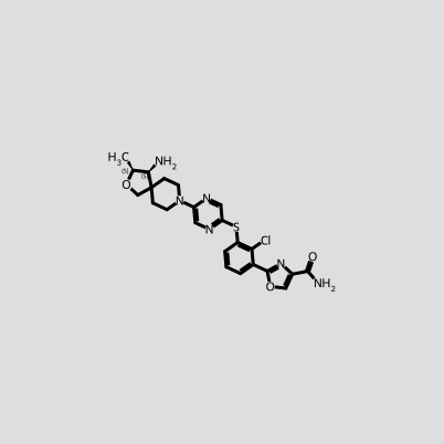 C[C@@H]1OCC2(CCN(c3cnc(Sc4cccc(-c5nc(C(N)=O)co5)c4Cl)cn3)CC2)[C@@H]1N